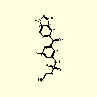 CCCS(=O)(=O)Nc1cc(F)cc(C(=O)c2ccc3ocnc3c2)c1